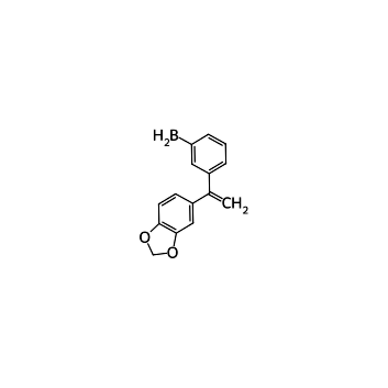 Bc1cccc(C(=C)c2ccc3c(c2)OCO3)c1